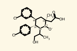 CC(CO)N1[C@H](c2ccc(Cl)cc2)[C@@H](c2cccc(Cl)c2)C[C@@](C)(CC(=O)O)[S+]1[O-]